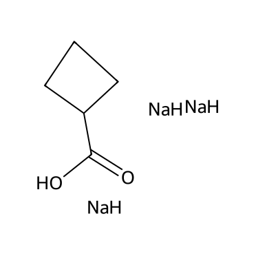 O=C(O)C1CCC1.[NaH].[NaH].[NaH]